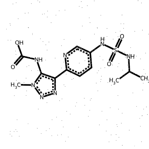 CC(C)NS(=O)(=O)Nc1ccc(-c2nnn(C)c2NC(=O)O)nc1